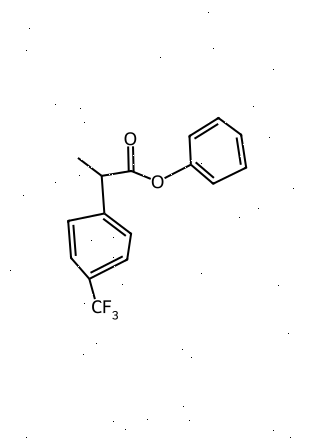 CC(C(=O)Oc1ccccc1)c1ccc(C(F)(F)F)cc1